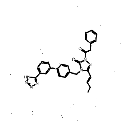 CC/C=C/c1nn(C(=O)Cc2ccccc2)c(=O)n1Cc1ccc(-c2cccc(-c3nnn[nH]3)c2)cc1